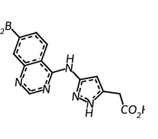 Bc1ccc2c(Nc3cc(CC(=O)O)[nH]n3)ncnc2c1